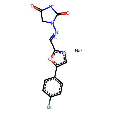 O=C1CN(/N=C/c2ncc(-c3ccc(Br)cc3)o2)C(=O)[N-]1.[Na+]